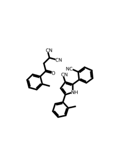 Cc1ccccc1-c1cc(C#N)c(-c2ccccc2C#N)[nH]1.Cc1ccccc1C(=O)CC(C#N)C#N